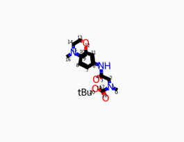 CN(CC(=O)Nc1ccc2c(c1)OCCN2C)C(=O)OC(C)(C)C